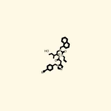 C=CCOC(=O)N(Cc1cccc2ccccc12)CC(NC(=O)Cc1cncn1Cc1ccc(C#N)cc1)C(C)CC.Cl